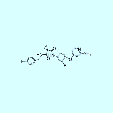 Nc1cc(Oc2ccc(NC(=O)C3(C(=O)NCc4ccc(F)cc4)CC3)cc2F)ccn1